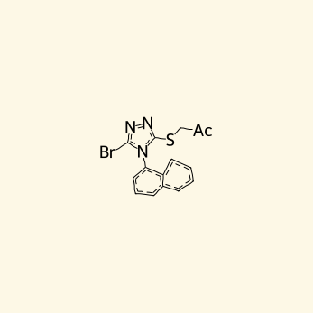 CC(=O)CSc1nnc(Br)n1-c1cccc2ccccc12